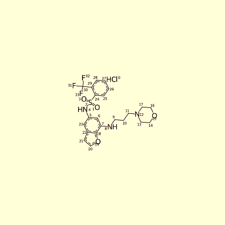 Cl.O=S(=O)(Nc1cc(NCCCN2CCOCC2)c2occc2c1)c1ccccc1C(F)(F)F